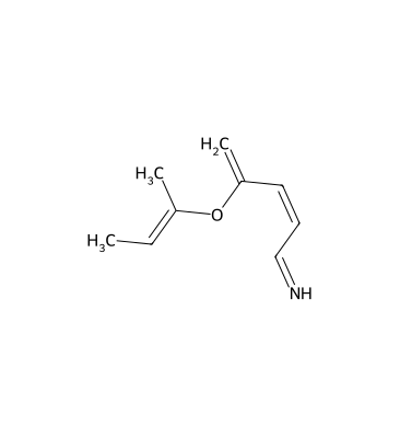 C=C(/C=C\C=N)O/C(C)=C/C